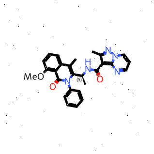 COc1cccc2c(C)c([C@H](C)NC(=O)c3c(C)nn4cccnc34)n(-c3ccccc3)c(=O)c12